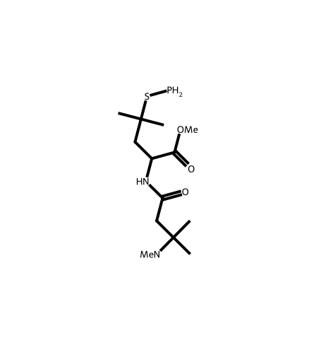 CNC(C)(C)CC(=O)NC(CC(C)(C)SP)C(=O)OC